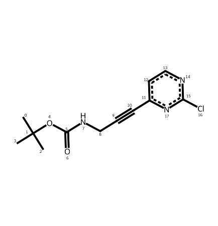 CC(C)(C)OC(=O)NCC#Cc1ccnc(Cl)n1